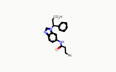 CC(=O)CCC(=O)Nc1ccc2ncn(C(CC(=O)O)c3ccccc3)c2c1